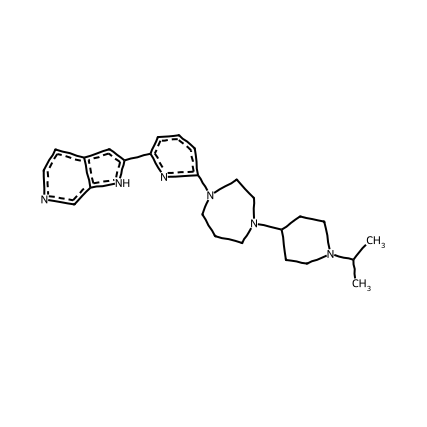 CC(C)N1CCC(N2CCCN(c3cccc(-c4cc5ccncc5[nH]4)n3)CC2)CC1